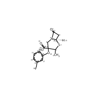 CC1S[C@@H]2CC(=O)N2CC1(Oc1cccc(F)c1)C(=O)O